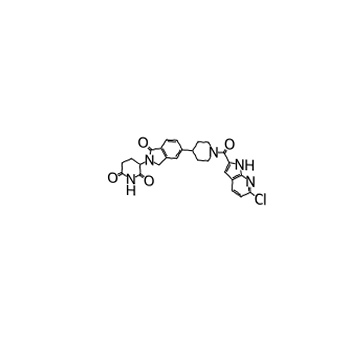 O=C1CCC(N2Cc3cc(C4CCN(C(=O)c5cc6ccc(Cl)nc6[nH]5)CC4)ccc3C2=O)C(=O)N1